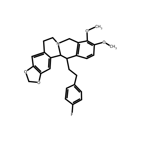 COc1ccc2c(c1OC)CN1CCc3cc4c(cc3C1C2CCc1ccc(F)cc1)OCO4